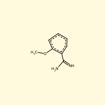 COc1ccc[c]c1C(=N)N